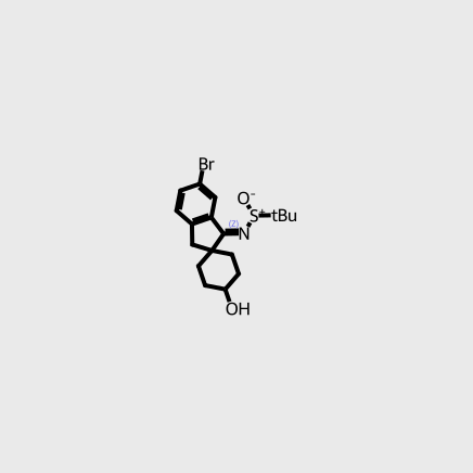 CC(C)(C)[S+]([O-])/N=C1\c2cc(Br)ccc2CC12CCC(O)CC2